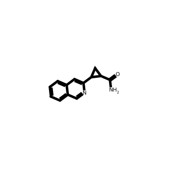 NC(=O)C1CC1c1cc2cc[c]cc2cn1